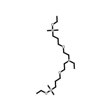 CCO[Si](C)(C)CCCOCCN(CC)CCOCCC[Si](C)(C)OCC